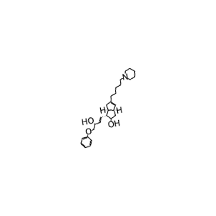 O[C@H](/C=C/[C@@H]1[C@H]2CC(CCCCCN3CCCCC3)=C[C@H]2C[C@H]1O)COc1ccccc1